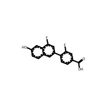 O=C(O)c1ccc(-c2cc(F)c3cc(O)ccc3c2)c(F)c1